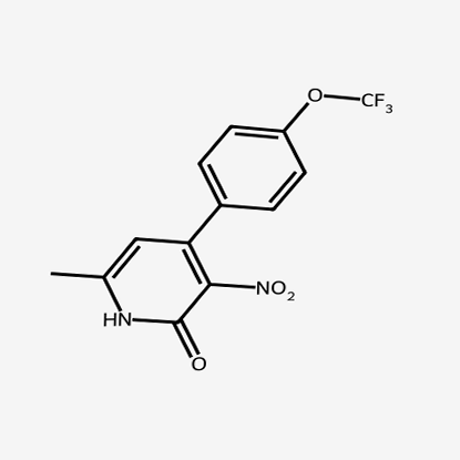 Cc1cc(-c2ccc(OC(F)(F)F)cc2)c([N+](=O)[O-])c(=O)[nH]1